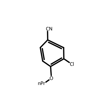 CCCOc1ccc(C#N)cc1Cl